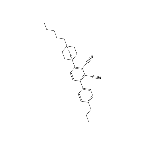 CCCCCC12CCC(c3ccc(-c4ccc(CCC)cc4)c(C#N)c3C#N)(CC1)CC2